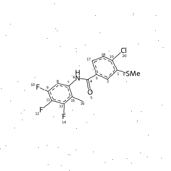 CSc1cc(C(=O)Nc2cc(F)c(F)c(F)c2C)ccc1Cl